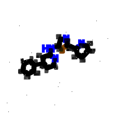 c1ccc(-c2ccnc(Nc3cnc(-c4ccccn4)s3)c2)cc1